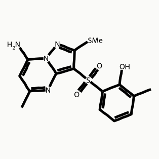 CSc1nn2c(N)cc(C)nc2c1S(=O)(=O)c1cccc(C)c1O